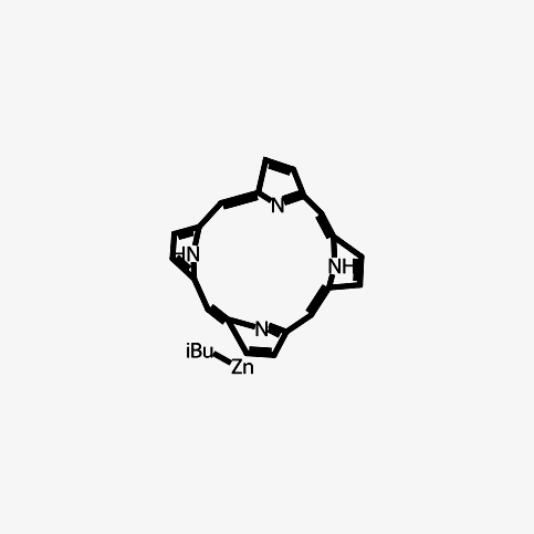 C1=Cc2cc3ccc(cc4nc(cc5ccc(cc1n2)[nH]5)C=C4)[nH]3.CC[CH](C)[Zn]